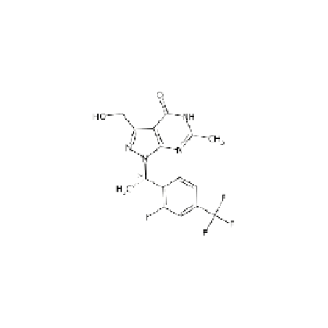 Cc1nc2c(c(CO)nn2[C@@H](C)c2ccc(C(F)(F)F)cc2I)c(=O)[nH]1